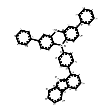 c1ccc(-c2ccc3c(c2)Sc2cc(-c4ccccc4)ccc2N3c2ccc(-c3cccc4c3oc3ccccc34)cc2)cc1